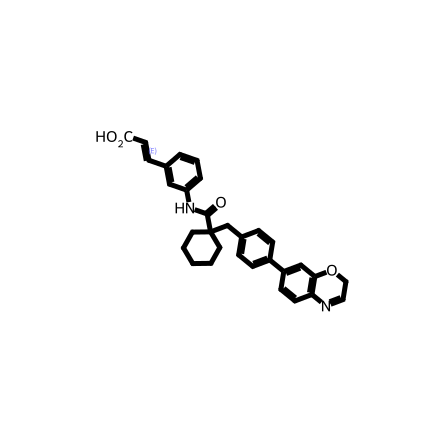 O=C(O)/C=C/c1cccc(NC(=O)C2(Cc3ccc(-c4ccc5c(c4)OCC=N5)cc3)CCCCC2)c1